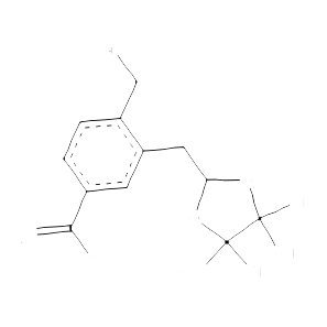 C=C(O)c1ccc(CBr)c(CC2OC(C)(C)C(C)(C)O2)c1